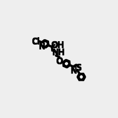 O[C@@H](CNCCOc1ccc(-c2csc(-c3ccccc3)n2)cc1)c1ccc(Cl)nc1